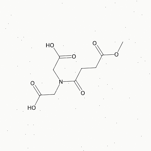 COC(=O)CCC(=O)N(CC(=O)O)CC(=O)O